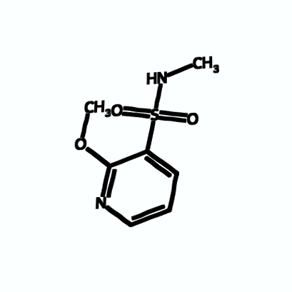 CNS(=O)(=O)c1cccnc1OC